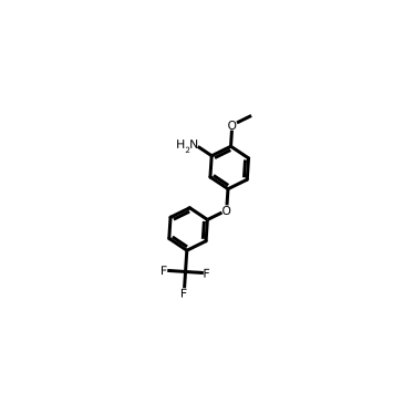 COc1ccc(Oc2cccc(C(F)(F)F)c2)cc1N